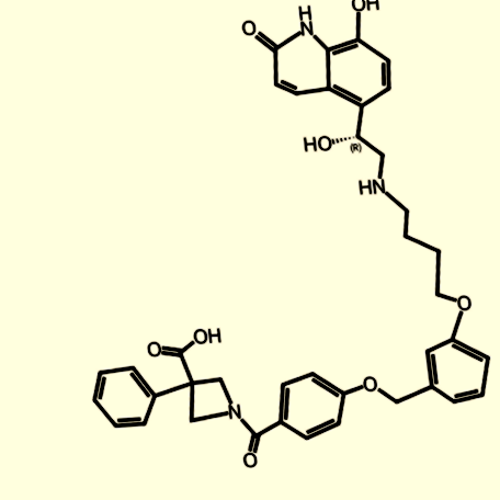 O=C(c1ccc(OCc2cccc(OCCCCNC[C@H](O)c3ccc(O)c4[nH]c(=O)ccc34)c2)cc1)N1CC(C(=O)O)(c2ccccc2)C1